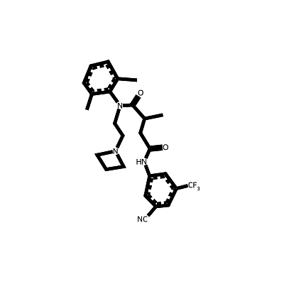 Cc1cccc(C)c1N(CCN1CCC1)C(=O)C(C)CC(=O)Nc1cc(C#N)cc(C(F)(F)F)c1